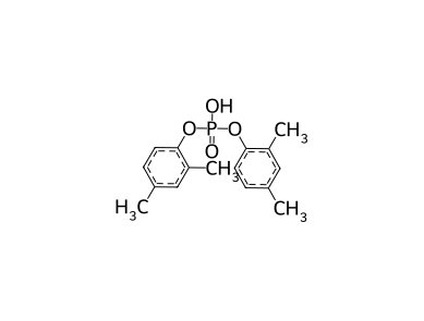 Cc1ccc(OP(=O)(O)Oc2ccc(C)cc2C)c(C)c1